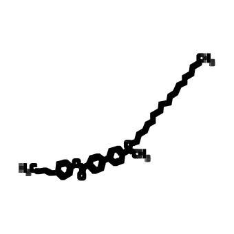 CCCCCCCCCCCCCCCCCCOC(C)c1ccc(-c2ccc(C(=O)Oc3ccc(CCCC)cc3)cc2)cc1